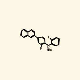 CC(C)(C)N(c1ccccc1F)c1ccc(-c2ccc3ccccc3c2)cc1F